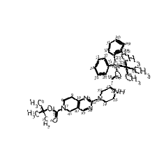 CC(C)(C)OC(=O)N1CCc2nc(N3CCN[C@@H](CO[Si](c4ccccc4)(c4ccccc4)C(C)(C)C)C3)ncc2C1